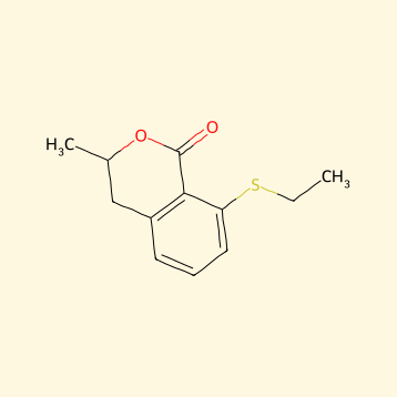 CCSc1cccc2c1C(=O)OC(C)C2